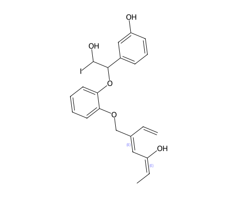 C=C/C(=C\C(O)=C/C)COc1ccccc1OC(c1cccc(O)c1)C(O)I